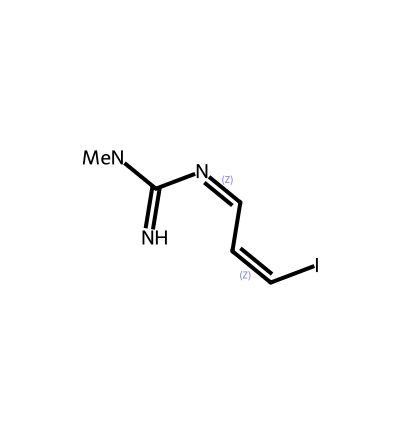 CNC(=N)/N=C\C=C/I